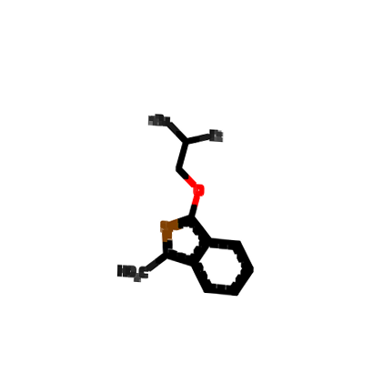 CCCCC(CC)COc1sc(C(=O)O)c2ccccc12